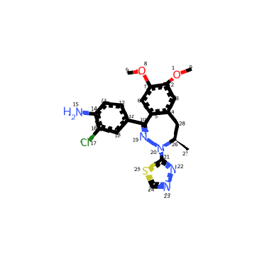 COc1cc2c(cc1OC)C(c1ccc(N)c(Cl)c1)=NN(c1nncs1)[C@H](C)C2